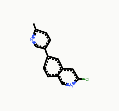 Cc1ccc(-c2ccc3cnc(Cl)cc3c2)cn1